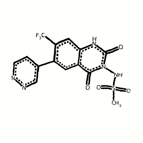 CS(=O)(=O)Nn1c(=O)[nH]c2cc(C(F)(F)F)c(-c3ccnnc3)cc2c1=O